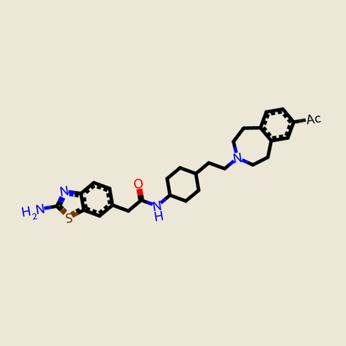 CC(=O)c1ccc2c(c1)CCN(CCC1CCC(NC(=O)Cc3ccc4nc(N)sc4c3)CC1)CC2